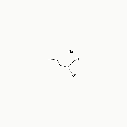 CCCC([O-])S.[Na+]